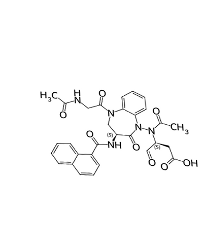 CC(=O)NCC(=O)N1C[C@H](NC(=O)c2cccc3ccccc23)C(=O)N(N(C(C)=O)[C@H](C=O)CC(=O)O)c2ccccc21